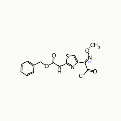 CO/N=C(/C(=O)Cl)c1csc(NC(=O)OCc2ccccc2)n1